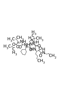 C=CCNC(=O)C(=O)C(CCCC)NC(=O)[C@@H]1[C@@H]2[C@H](CN1C(=O)[C@@H](NC(=O)N[C@H](C(=O)OC(C)C)C(C)C)C1CCCCC1)C2(C)C